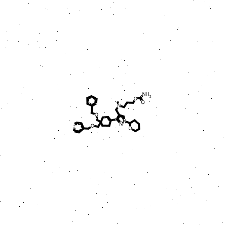 CN(CCCOC(N)=O)Cc1cn(C2CCCCO2)nc1C1=CCC(COCc2ccccc2)(COCc2ccccc2)CC1